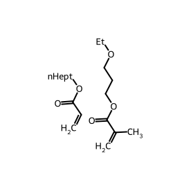 C=C(C)C(=O)OCCCOCC.C=CC(=O)OCCCCCCC